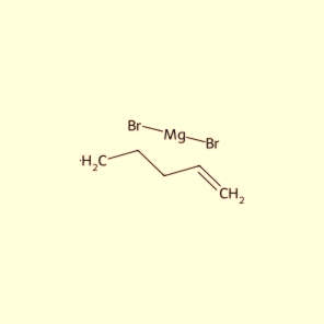 [Br][Mg][Br].[CH2]CCC=C